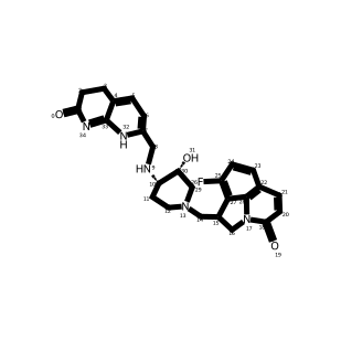 O=C1CCC2=CC=C(CN[C@H]3CCN(CC4Cn5c(=O)ccc6ccc(F)c4c65)C[C@H]3O)NC2=N1